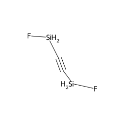 F[SiH2]C#C[SiH2]F